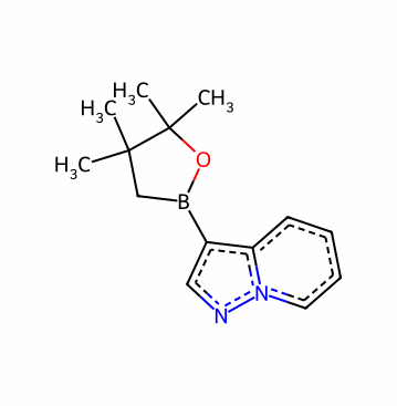 CC1(C)CB(c2cnn3ccccc23)OC1(C)C